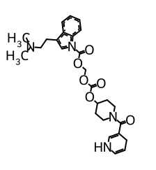 CN(C)CCc1cn(C(=O)OCOC(=O)OC2CCN(C(=O)C3=CNC=CC3)CC2)c2ccccc12